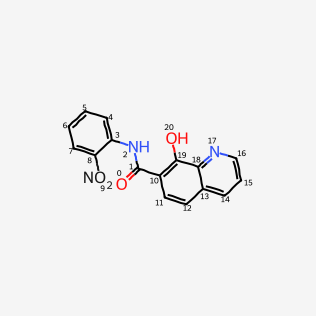 O=C(Nc1ccccc1[N+](=O)[O-])c1ccc2cccnc2c1O